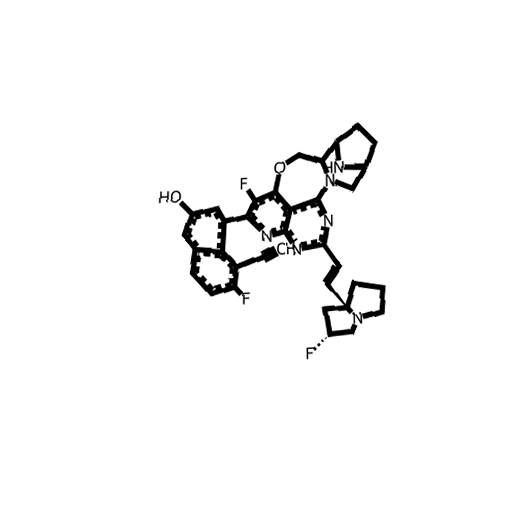 C#Cc1c(F)ccc2cc(O)cc(-c3nc4nc(/C=C/[C@@]56CCCN5C[C@H](F)C6)nc5c4c(c3F)OCC3C4CCC(CN53)N4)c12